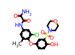 Cc1cc(NC(=O)C(N)=O)cc(Cl)c1Oc1ccc(O)c(S(=O)(=O)N2CCOCC2)c1